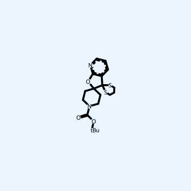 CC(C)(C)OC(=O)N1CCC2(CC1)Oc1ncccc1C21SCCCS1